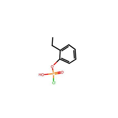 CCc1ccccc1OP(=O)(O)Cl